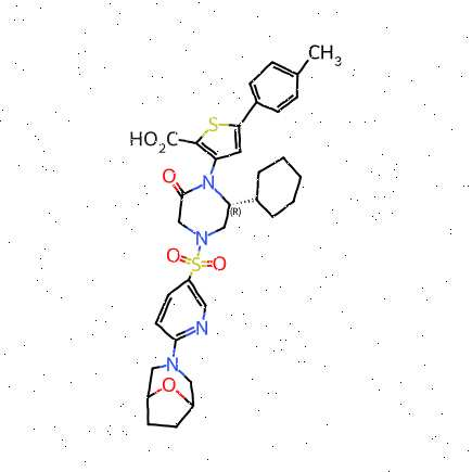 Cc1ccc(-c2cc(N3C(=O)CN(S(=O)(=O)c4ccc(N5CC6CCC(C5)O6)nc4)C[C@H]3C3CCCCC3)c(C(=O)O)s2)cc1